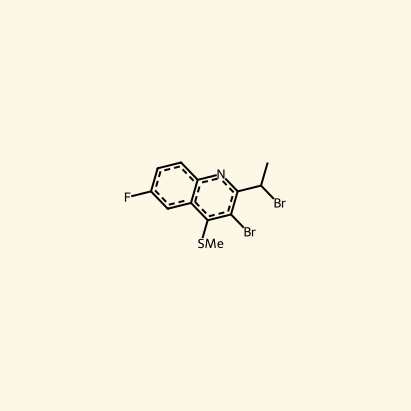 CSc1c(Br)c(C(C)Br)nc2ccc(F)cc12